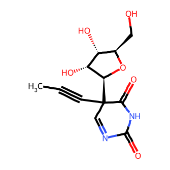 CC#CC1([C@@H]2O[C@H](CO)[C@@H](O)[C@H]2O)C=NC(=O)NC1=O